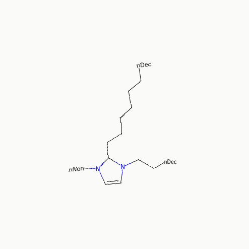 CCCCCCCCCCCCCCCCC1N(CCCCCCCCC)C=CN1CCCCCCCCCCCC